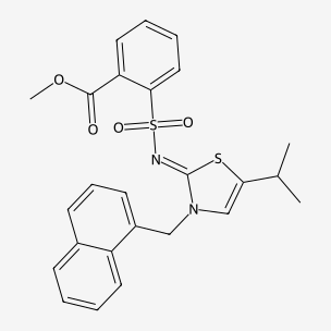 COC(=O)c1ccccc1S(=O)(=O)N=c1sc(C(C)C)cn1Cc1cccc2ccccc12